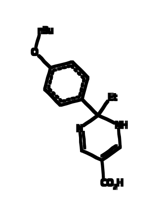 CCCCOc1ccc(C2(CC)N=CC(C(=O)O)=CN2)cc1